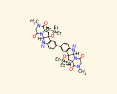 CC[Si](CC)(CC)OC12C[C@@H]3C(=O)N(C)CC(=O)N3[C@H]1Nc1ccc(-c3ccc4c(c3)C3(O[Si](CC)(CC)CC)C[C@@H]5C(=O)N(C)CC(=O)N5[C@H]3N4)cc12